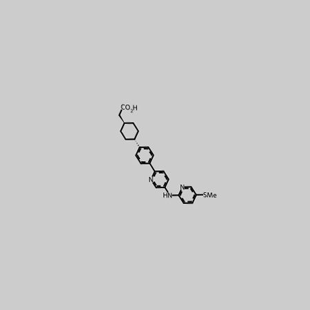 CSc1ccc(Nc2ccc(-c3ccc([C@H]4CC[C@H](CC(=O)O)CC4)cc3)nc2)nc1